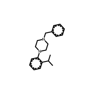 CC(C)c1ccccc1N1CCN(Cc2ccccc2)CC1